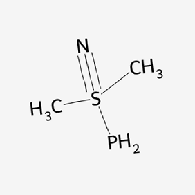 CS(C)(#N)P